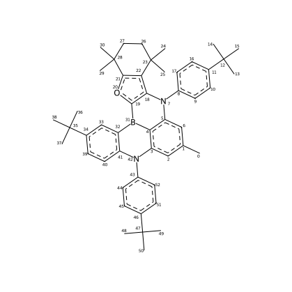 Cc1cc2c3c(c1)N(c1ccc(C(C)(C)C)cc1)c1c(oc4c1C(C)(C)CCC4(C)C)B3c1cc(C(C)(C)C)ccc1N2c1ccc(C(C)(C)C)cc1